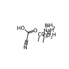 CC(=O)O.CC(=O)O.N#CC(=O)O.[BiH3].[NaH]